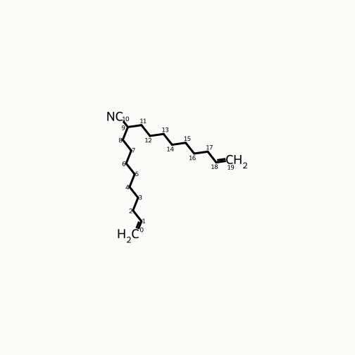 C=CCCCCCCCC(C#N)CCCCCCCC=C